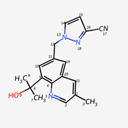 Cc1cnc2c(C(C)(C)O)cc(Cn3ccc(C#N)n3)cc2c1